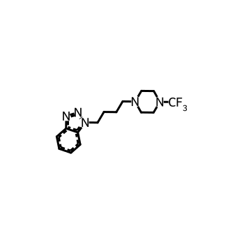 FC(F)(F)N1CCN(CCCCn2nnc3ccccc32)CC1